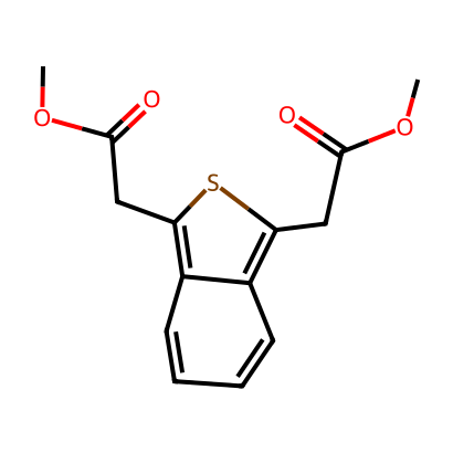 COC(=O)Cc1sc(CC(=O)OC)c2ccccc12